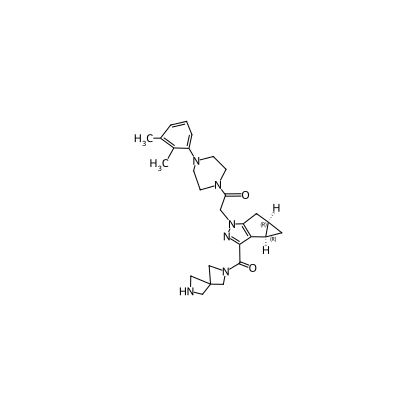 Cc1cccc(N2CCN(C(=O)Cn3nc(C(=O)N4CC5(CNC5)C4)c4c3C[C@H]3C[C@@H]43)CC2)c1C